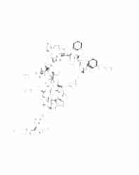 NC(=O)CC[C@@H]1NC(=O)[C@H](Cc2ccccc2)NC(=O)[C@H](Cc2ccc(O)cc2)NC(=O)CCSSC[C@@H](C(=O)N2CCC[C@H]2C(=O)N[C@@H](CCCNC2NC2N)C(=O)NCC(N)=O)NC(=O)[C@H](CC(N)=O)NC1=O